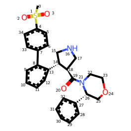 CS(=O)(=O)c1ccc(-c2ccccc2[C@@H]2CNC[C@H]2C(=O)N2CCOC[C@@H]2c2ccccc2)cc1